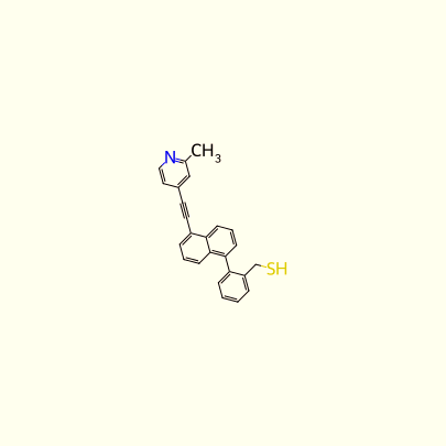 Cc1cc(C#Cc2cccc3c(-c4ccccc4CS)cccc23)ccn1